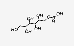 OBOC[C@H](O)[C@@H](O)[C@H](O)[C@H](O)CO